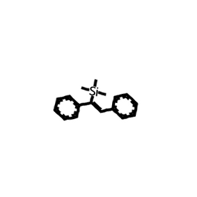 C[Si](C)(C)C(=Cc1ccccc1)c1ccccc1